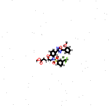 COC(=O)CC[C@H]1CN(S(=O)(=O)c2cccc(C(F)(F)F)c2)c2cc(-c3noc(-c4ccccc4OC)n3)ccc2O1